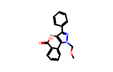 COCn1nc(-c2ccccc2)c(Br)c1-c1ccccc1C(=O)O